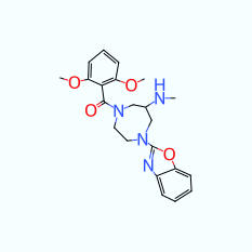 CNC1CN(C(=O)c2c(OC)cccc2OC)CCN(c2nc3ccccc3o2)C1